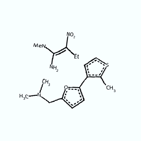 CCC(=C(N)NC)[N+](=O)[O-].Cc1sccc1-c1ccc(CN(C)C)o1